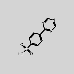 O=S(=O)(O)c1ccc(-c2ncncn2)cc1